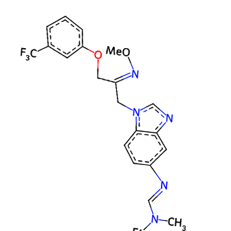 CCN(C)C=Nc1ccc2c(c1)ncn2CC(COc1cccc(C(F)(F)F)c1)=NOC